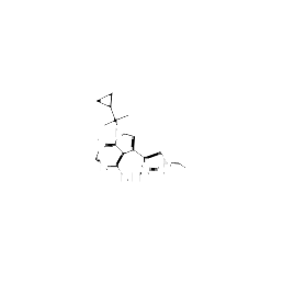 CCn1cc(-c2cn(C(C)(C)C3CC3)c3ncnc(N)c23)nn1